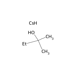 CCC(C)(C)O.[CsH]